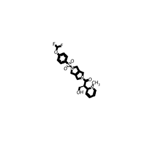 CN1C=CC=CC1[C@@H](CO)C(=O)N1CC2=C(C1)CN(S(=O)(=O)c1ccc(OC(F)F)cc1)C2